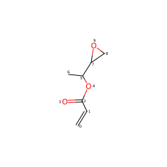 C=CC(=O)OC(C)C1CO1